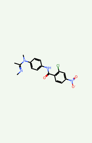 CN=C(C)N(C)c1ccc(NC(=O)c2ccc([N+](=O)[O-])cc2Cl)cc1